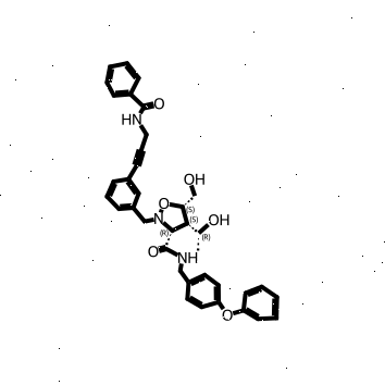 C[C@@H](O)[C@H]1[C@@H](CO)ON(Cc2cccc(C#CCNC(=O)c3ccccc3)c2)[C@H]1C(=O)NCc1ccc(Oc2ccccc2)cc1